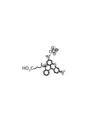 CN(CCCC(=O)O)C(=O)c1ccccc1-c1c2ccc(=[N+](C)C)cc-2sc2cc(N(C)C)ccc12.[O-][Cl+3]([O-])([O-])[O-]